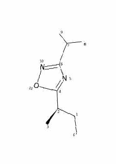 CC[C@@H](C)c1nc(C(C)C)no1